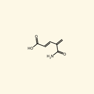 C=C(C=CC(=O)O)C(N)=O